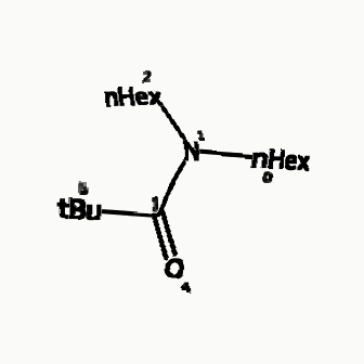 CCCCCCN(CCCCCC)C(=O)C(C)(C)C